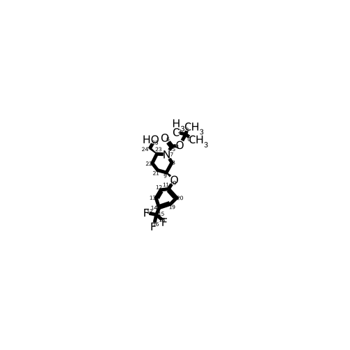 CC(C)(C)OC(=O)N1C[C@@H](Oc2ccc(C(F)(F)F)cc2)CC[C@H]1CO